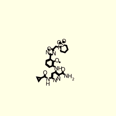 COc1c(Nc2cc(NC(=O)C3CC3)nnc2C(N)=O)cccc1-c1noc(CN2CCCCS2(=O)=O)n1